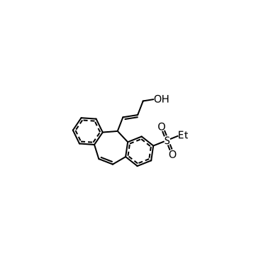 CCS(=O)(=O)c1ccc2c(c1)C(C=CCO)c1ccccc1C=C2